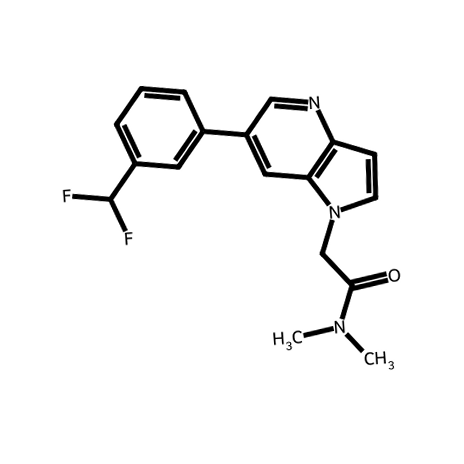 CN(C)C(=O)Cn1ccc2ncc(-c3cccc(C(F)F)c3)cc21